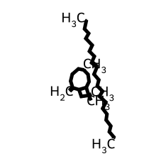 C=C1CCCC(C)CCC2C1CC2(C)C.CCCCCCCCC=CCCCCCCCCCCCCC